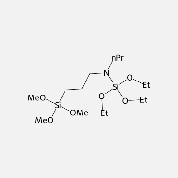 CCCN(CCC[Si](OC)(OC)OC)[Si](OCC)(OCC)OCC